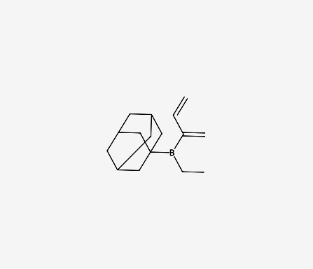 C=CC(=C)B(CC)C12CC3CC(CC(C3)C1)C2